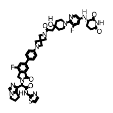 O=C1CC[C@H](Nc2cnc(N3CCC(O)(CC(=O)N4CC5(C4)CN(c4ccc(-c6cc(F)c7c(c6)C(=O)N(C(C(=O)Nc6nccs6)c6ncn8c6CCC8)C7)cc4)C5)CC3)c(F)c2)C(=O)N1